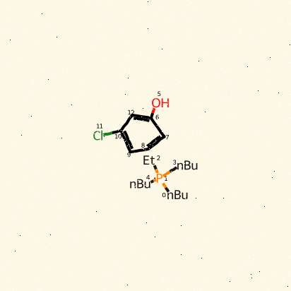 CCCC[P](CC)(CCCC)CCCC.Oc1cccc(Cl)c1